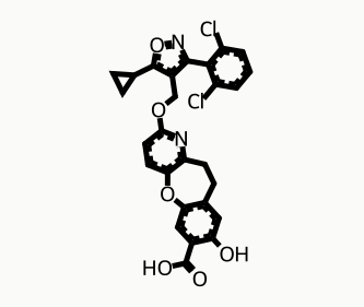 O=C(O)c1cc2c(cc1O)CCc1nc(OCc3c(-c4c(Cl)cccc4Cl)noc3C3CC3)ccc1O2